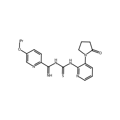 CC(C)Oc1ccc(C(=N)NC(=S)Nc2ncccc2N2CCCC2=O)nc1